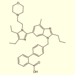 CCCc1nc2c(C)cc(-c3nc(CC)c(CC)n3CCN3CCOCC3)cc2n1Cc1ccc(-c2ccccc2C(=O)O)cc1